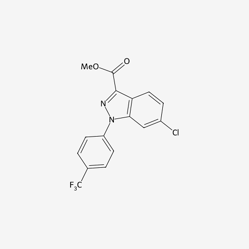 COC(=O)c1nn(-c2ccc(C(F)(F)F)cc2)c2cc(Cl)ccc12